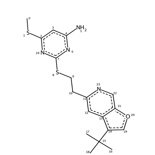 CSc1cc(N)nc(SCCc2cc3c(C(C)(C)C)coc3cn2)n1